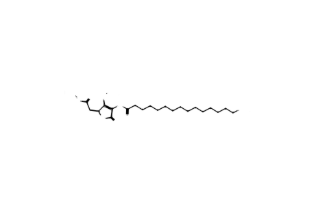 CCCCCCCCCCCCCCCC(=O)OC1=C(OC)C(CC(=O)OC)OC1=O